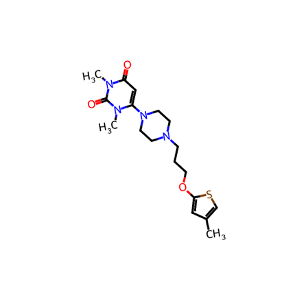 Cc1csc(OCCCN2CCN(c3cc(=O)n(C)c(=O)n3C)CC2)c1